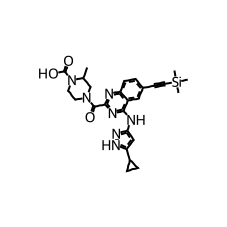 CC1CN(C(=O)c2nc(Nc3cc(C4CC4)[nH]n3)c3cc(C#C[Si](C)(C)C)ccc3n2)CCN1C(=O)O